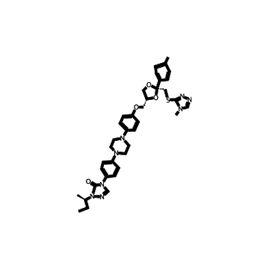 CC[C@@H](C)n1ncn(-c2ccc(N3CCN(c4ccc(OC[C@@H]5CO[C@@](CSc6nncn6C)(c6ccc(C)cc6)O5)cc4)CC3)cc2)c1=O